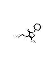 O=C(O)CNC1=C([N+](=O)[O-])CN(C2CCCCC2)C1=O